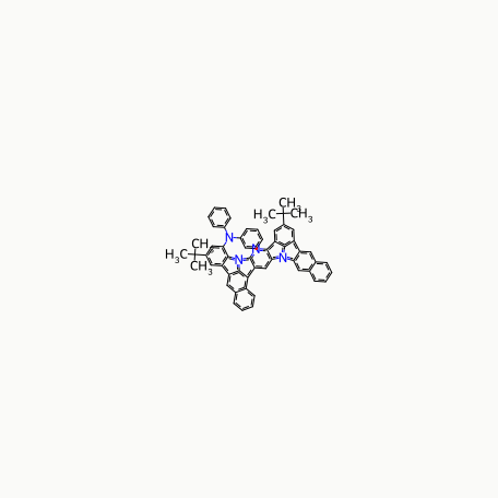 CC(C)(C)c1cc(N(c2ccccc2)c2ccccc2)c2c(c1)c1cc3ccccc3c3c4cc5c(nc4n2c13)c1cc(C(C)(C)C)cc2c3cc4ccccc4cc3n5c21